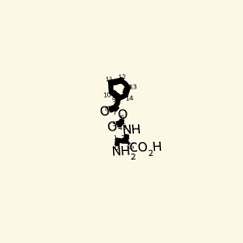 NC[C@@H](NC(=O)OC(=O)c1ccccc1)C(=O)O